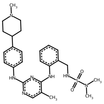 Cc1cnc(Nc2ccc(C3CCN(C)CC3)cc2)nc1Nc1ccccc1CNS(=O)(=O)N(C)C